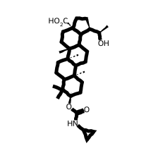 C[C@@H](O)[C@@H]1CC[C@]2(C(=O)O)CC[C@]3(C)C(CCC4[C@@]5(C)CC[C@@H](OC(=O)NC6CC6)C(C)(C)C5CC[C@]43C)C12